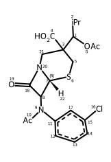 CC(=O)OC(C(C)C)C1(C(=O)O)CS[C@@H]2C(N(C(C)=O)c3cccc(Cl)c3)C(=O)N2C1